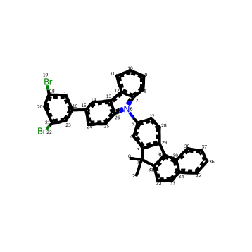 CC1(C)c2cc(-n3c4ccccc4c4cc(-c5cc(Br)cc(Br)c5)ccc43)ccc2-c2c1ccc1ccccc21